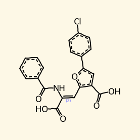 O=C(O)/C(=C/c1oc(-c2ccc(Cl)cc2)cc1C(=O)O)NC(=O)c1ccccc1